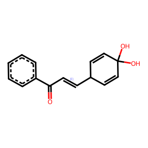 O=C(/C=C/C1C=CC(O)(O)C=C1)c1ccccc1